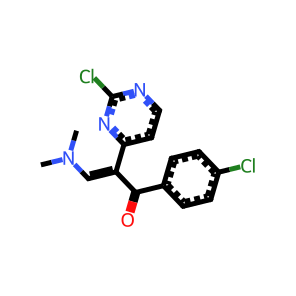 CN(C)C=C(C(=O)c1ccc(Cl)cc1)c1ccnc(Cl)n1